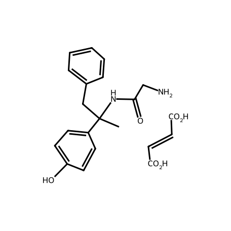 CC(Cc1ccccc1)(NC(=O)CN)c1ccc(O)cc1.O=C(O)C=CC(=O)O